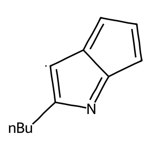 CCCCC1=[C]C2=CC=CC2=N1